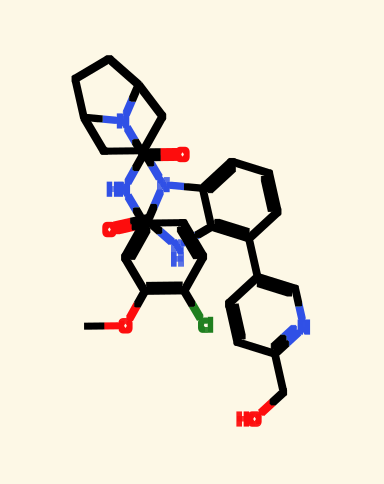 COc1cc(NC(=O)N2C3CCC2CC(n2c(=O)[nH]c4c(-c5ccc(CO)nc5)cccc42)C3)ccc1Cl